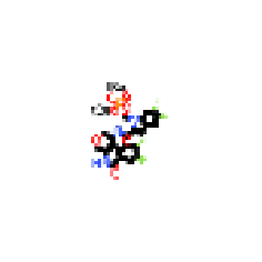 CN(C(=O)c1cc2cc(F)c(F)cc2n1COP(=O)(OC(C)(C)C)OC(C)(C)C)C1COCc2[nH]c(=O)c3cc(F)c(F)cc3c21